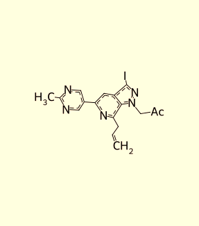 C=CCc1nc(-c2cnc(C)nc2)cc2c(I)nn(CC(C)=O)c12